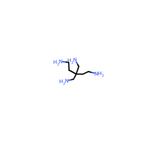 NCCC(CN)(CN)CCN